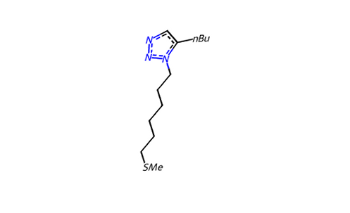 CCCCc1cnnn1CCCCCCSC